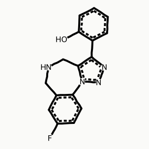 Oc1ccccc1-c1nnn2c1CNCc1cc(F)ccc1-2